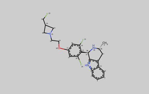 C[C@@H]1Cc2c([nH]c3ccccc23)[C@@H](c2c(F)cc(OCCN3CC(CF)C3)cc2F)N1